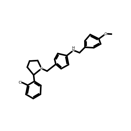 COc1ccc(CNc2ccc(CN3CCCC3c3ccccc3Cl)cc2)cc1